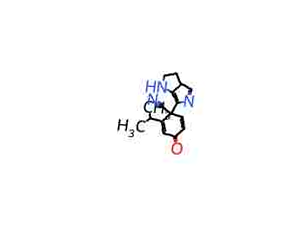 CC(C)C1=CC(=O)C=CC1(C#N)C1=C2NCCC2C=N1